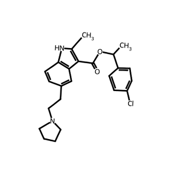 Cc1[nH]c2ccc(CCN3CCCC3)cc2c1C(=O)OC(C)c1ccc(Cl)cc1